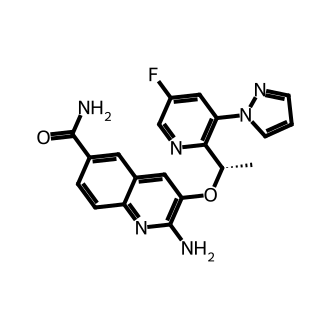 C[C@H](Oc1cc2cc(C(N)=O)ccc2nc1N)c1ncc(F)cc1-n1cccn1